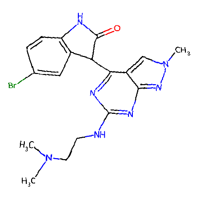 CN(C)CCNc1nc(C2C(=O)Nc3ccc(Br)cc32)c2cn(C)nc2n1